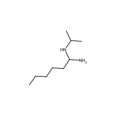 CCCCCC(N)NC(C)C